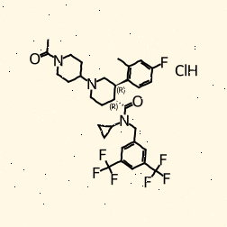 CC(=O)N1CCC(N2CC[C@@H](C(=O)N(Cc3cc(C(F)(F)F)cc(C(F)(F)F)c3)C3CC3)[C@H](c3ccc(F)cc3C)C2)CC1.Cl